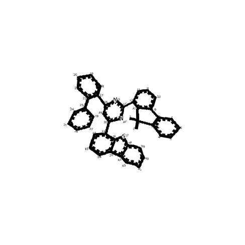 CC1(C)c2ccccc2-c2cccc(-c3nc(-c4ccccc4-c4ccccc4)cc(-c4cccc5c4sc4ccccc45)n3)c21